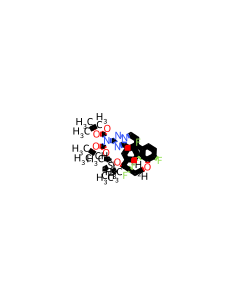 [2H]C([2H])(CC(F)(F)C(C)(O[Si](CC)(CC)CC)c1ccc(F)cc1)Oc1c(F)ccc(-c2ccn3nc(N(C(=O)OC(C)(C)C)C(=O)OC(C)(C)C)nc3c2)c1F